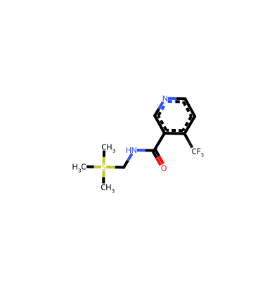 CS(C)(C)CNC(=O)c1cnccc1C(F)(F)F